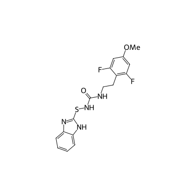 COc1cc(F)c(CCNC(=O)NSc2nc3ccccc3[nH]2)c(F)c1